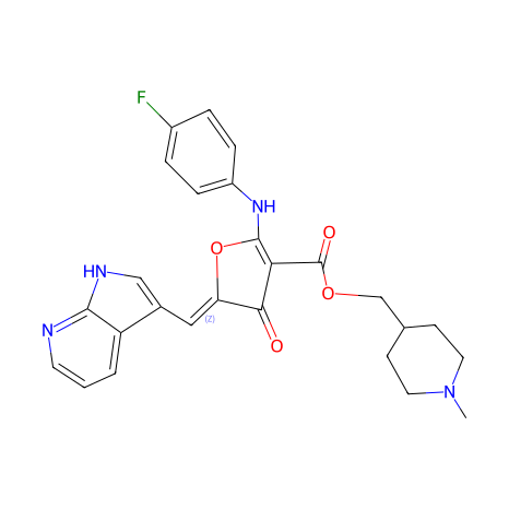 CN1CCC(COC(=O)C2=C(Nc3ccc(F)cc3)O/C(=C\c3c[nH]c4ncccc34)C2=O)CC1